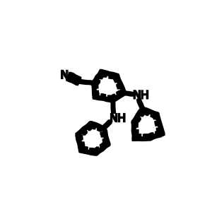 N#Cc1ccc(Nc2ccccc2)c(Nc2ccccc2)c1